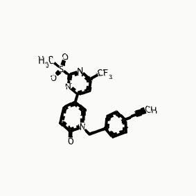 C#Cc1ccc(Cn2cc(-c3cc(C(F)(F)F)nc(S(C)(=O)=O)n3)ccc2=O)cc1